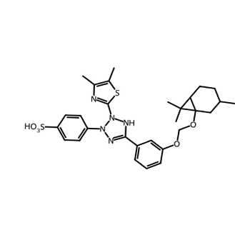 Cc1nc(N2NC(c3cccc(OCOC45CC(C)CCC4C5(C)C)c3)=NN2c2ccc(S(=O)(=O)O)cc2)sc1C